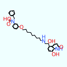 O=C(O)N(Cc1ccccc1)c1cccc(OCCCCCCCCCNCC(O)c2ccc(O)c3[nH]c(=O)ccc23)c1